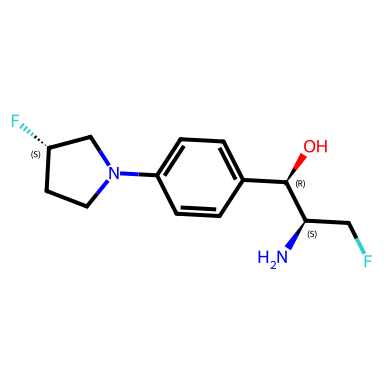 N[C@H](CF)[C@H](O)c1ccc(N2CC[C@H](F)C2)cc1